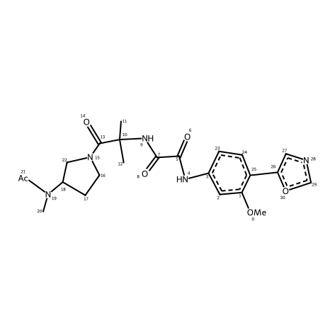 COc1cc(NC(=O)C(=O)NC(C)(C)C(=O)N2CCC(N(C)C(C)=O)C2)ccc1-c1cnco1